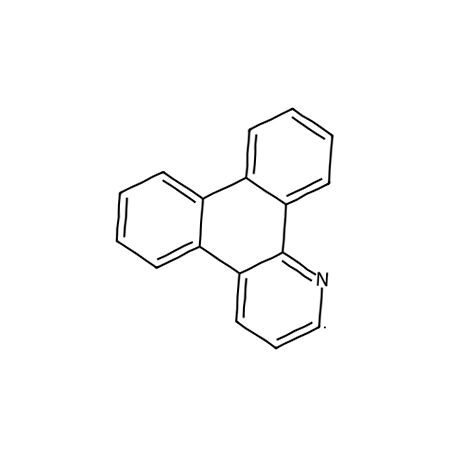 [c]1ccc2c3ccccc3c3ccccc3c2n1